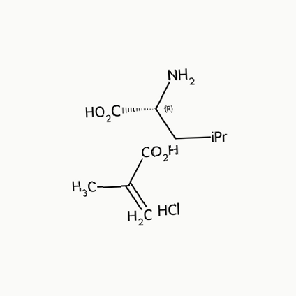 C=C(C)C(=O)O.CC(C)C[C@@H](N)C(=O)O.Cl